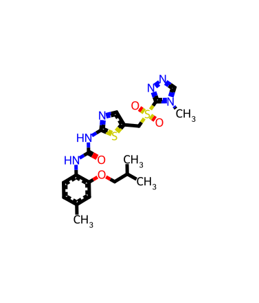 Cc1ccc(NC(=O)Nc2ncc(CS(=O)(=O)c3nncn3C)s2)c(OCC(C)C)c1